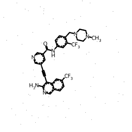 CN1CCN(Cc2ccc(NC(=O)c3cncc(C#Cc4c(N)ncc5ccc(C(F)(F)F)cc45)c3)cc2C(F)(F)F)CC1